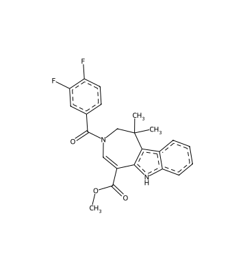 COC(=O)C1=CN(C(=O)c2ccc(F)c(F)c2)CC(C)(C)c2c1[nH]c1ccccc21